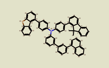 CC1(C)c2ccccc2-c2cccc(-c3ccc(N(c4ccc(-c5cccc6sc7ccccc7c56)cc4)c4cccc(-c5cccc(-c6cccc7ccccc67)c5)c4)cc3)c21